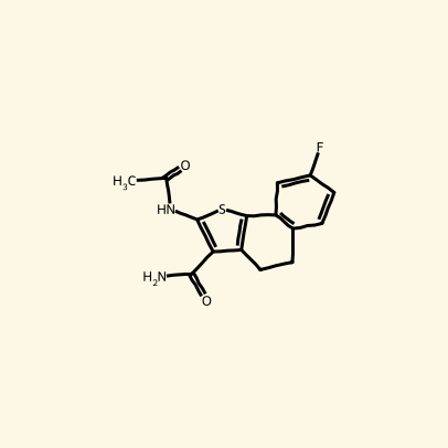 CC(=O)Nc1sc2c(c1C(N)=O)CCc1ccc(F)cc1-2